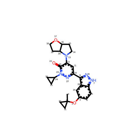 CC1(Oc2ccc3[nH]nc(-c4cc(N5CCC6OCCC65)c(=O)n(C5CC5)n4)c3c2)CC1